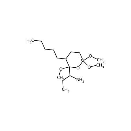 CCCCCC1CC[Si](OC)(OC)OC1(OC)C(N)CC